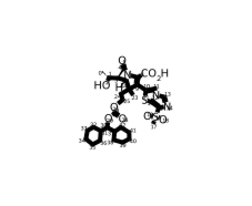 C[C@@H](O)[C@H]1C(=O)N2C(C(=O)O)=C(c3cn4cnc(S(C)(=O)=O)c4s3)C(C)(CCOC(=O)OC(C3CCCCC3)C3CCCCC3)[C@@H]12